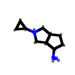 NC1CCC2CN(C3CC3)CC12